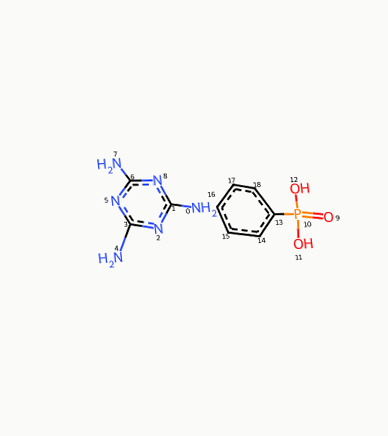 Nc1nc(N)nc(N)n1.O=P(O)(O)c1ccccc1